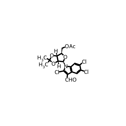 CC(=O)OC[C@H]1O[C@@H](n2c(Cl)c(C=O)c3cc(Cl)c(Cl)cc32)[C@@H]2OC(C)(C)O[C@@H]21